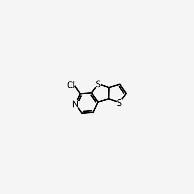 Clc1nccc2c1SC1C=CSC21